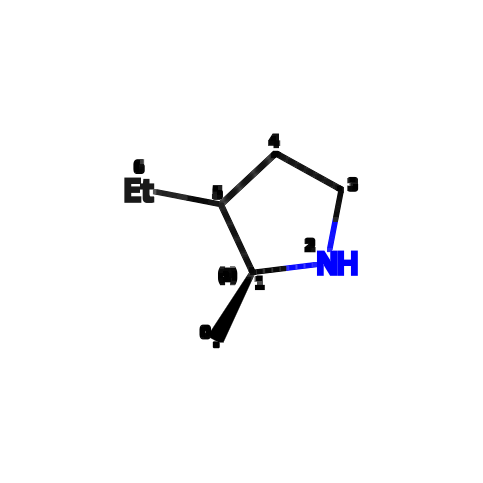 [CH2][C@@H]1NCCC1CC